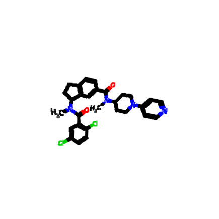 CN(C(=O)c1ccc2c(c1)C(N(C)C(=O)c1cc(Cl)ccc1Cl)CC2)C1CCN(c2ccncc2)CC1